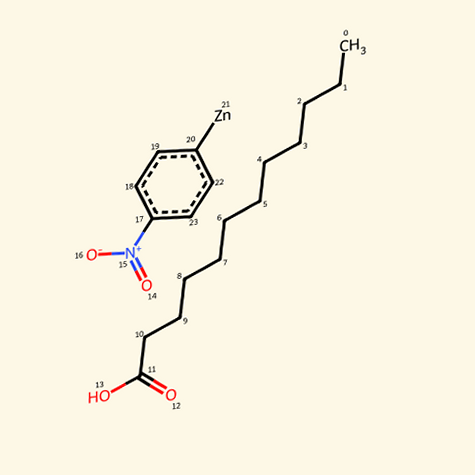 CCCCCCCCCCCC(=O)O.O=[N+]([O-])c1cc[c]([Zn])cc1